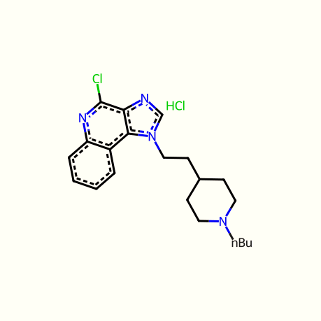 CCCCN1CCC(CCn2cnc3c(Cl)nc4ccccc4c32)CC1.Cl